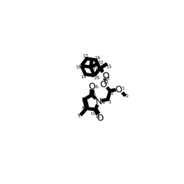 COC(CN1C(=O)C=C(C)C1=O)OOC1(C)CCC2CC1C2(C)C